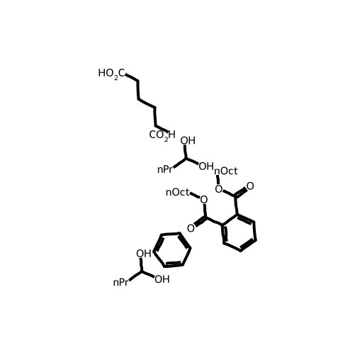 CCCC(O)O.CCCC(O)O.CCCCCCCCOC(=O)c1ccccc1C(=O)OCCCCCCCC.O=C(O)CCCCC(=O)O.c1ccccc1